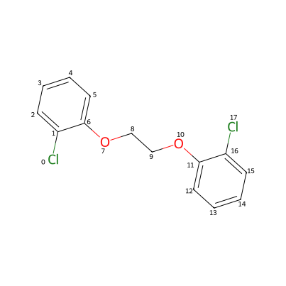 Clc1ccccc1OCCOc1ccccc1Cl